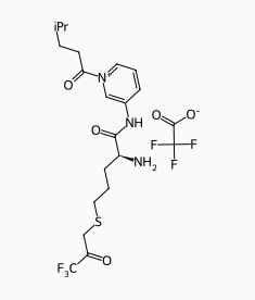 CC(C)CCC(=O)[n+]1cccc(NC(=O)[C@@H](N)CCCSCC(=O)C(F)(F)F)c1.O=C([O-])C(F)(F)F